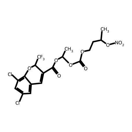 CC(CCOC(=O)OC(C)OC(=O)C1=Cc2cc(Cl)cc(Cl)c2OC1C(F)(F)F)O[N+](=O)[O-]